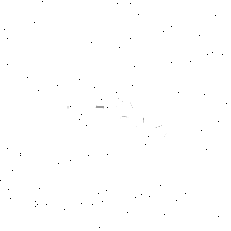 CCCCCCC#Cc1nc(Cl)c2nc(-c3cccs3)[nH]c2n1